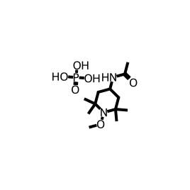 CON1C(C)(C)CC(NC(C)=O)CC1(C)C.O=P(O)(O)O